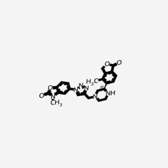 Cc1c([C@@H]2CN(Cc3cn(-c4ccc5oc(=O)n(C)c5c4)nn3)CCN2)ccc2c1COC2=O